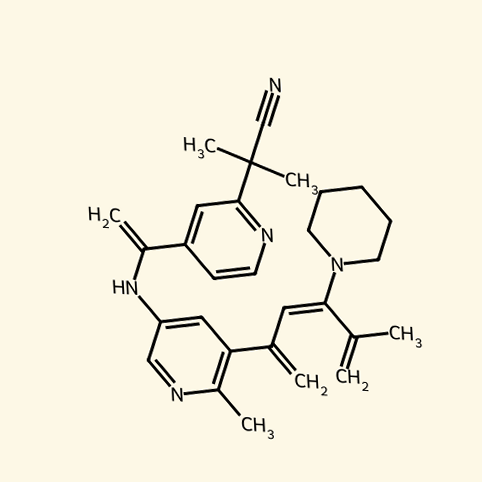 C=C(C)/C(=C\C(=C)c1cc(NC(=C)c2ccnc(C(C)(C)C#N)c2)cnc1C)N1CCCCC1